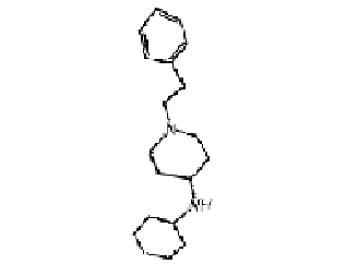 c1ccc(CCN2CCC(NC3CCCCC3)CC2)cc1